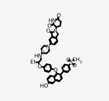 CCC(CNN1CCN(c2ccc3c(c2)C(=O)N(C2CCC(=O)NC2=O)C3)CC1)Oc1ccc(Oc2c(-c3ccc(S(C)(=O)=O)cc3)ccc3cc(O)ccc23)cc1